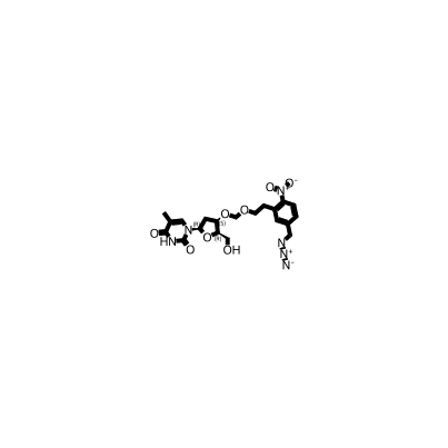 Cc1cn([C@H]2C[C@H](OCOCCc3cc(CN=[N+]=[N-])ccc3[N+](=O)[O-])[C@@H](CO)O2)c(=O)[nH]c1=O